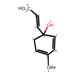 COC1=CCC(O)(/C=C/C(=O)O)C=C1